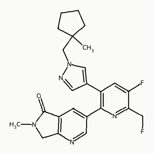 CN1Cc2ncc(-c3nc(CF)c(F)cc3-c3cnn(CC4(C)CCCC4)c3)cc2C1=O